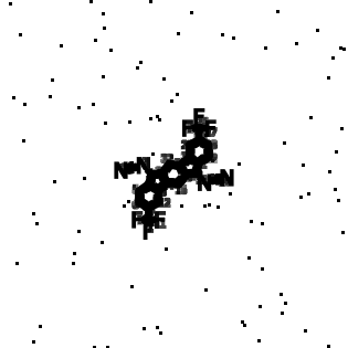 N#C/N=c1\c2ccc(C(F)(F)F)cc2c2cc3/c(=N/C#N)c4ccc(C(F)(F)F)cc4c3cc12